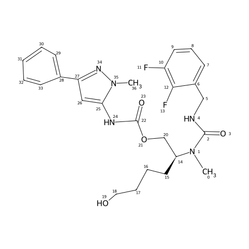 CN(C(=O)NCc1cccc(F)c1F)[C@@H](CCCCO)COC(=O)Nc1cc(-c2ccccc2)nn1C